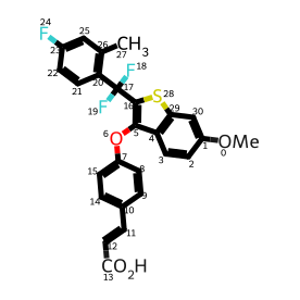 COc1ccc2c(Oc3ccc(/C=C/C(=O)O)cc3)c(C(F)(F)c3ccc(F)cc3C)sc2c1